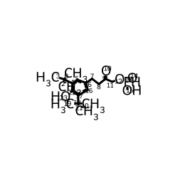 CC(C)(C)c1cc(CCC(=O)CO[PH](=O)O)cc(C(C)(C)C)c1O